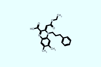 CCOC(=O)C=C1C(C(=O)O)=Nc2cc(C)c(C)cc2N1CCCc1ccccc1